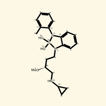 CO[C@H](CCN1c2ccccc2N(c2ccccc2C)S1(O)O)CNC1CC1